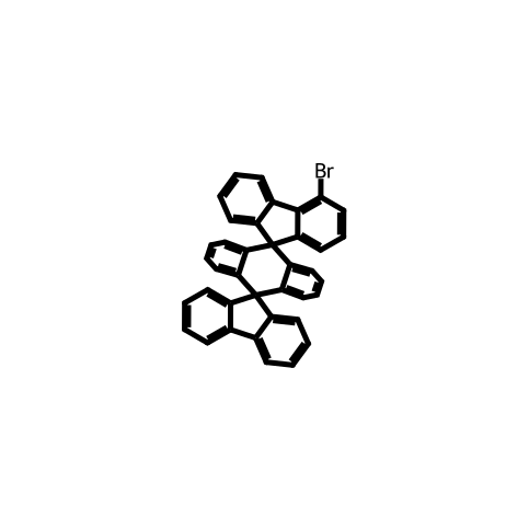 Brc1cccc2c1-c1ccccc1C21c2ccccc2C2(c3ccccc3-c3ccccc32)c2ccccc21